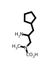 CN(CC(N)CC1CCCC1)C(=O)O